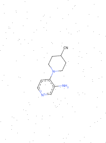 N#CC1CCN(c2ccncc2N)CC1